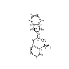 Nc1ncccc1C[S+]([O-])c1nc2ccccc2[nH]1